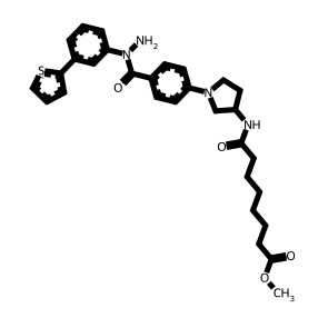 COC(=O)CCCCCCC(=O)NC1CCN(c2ccc(C(=O)N(N)c3cccc(-c4cccs4)c3)cc2)C1